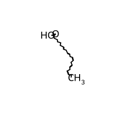 CC/C=C\C/C=C/C/C=C\C/C=C/C/C=C/CCCCCC(=O)O